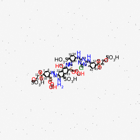 Nc1c(N=Nc2ccc(S(=O)(=O)CCOS(=O)(=O)O)cc2SOOO)cc2c(O)c(N=Nc3cc(Nc4nc(Cl)nc(Nc5cccc(S(=O)(=O)CCOS(=O)(=O)O)c5)n4)ccc3S(=O)(=O)O)c(SOOO)cc2c1S(=O)(=O)O